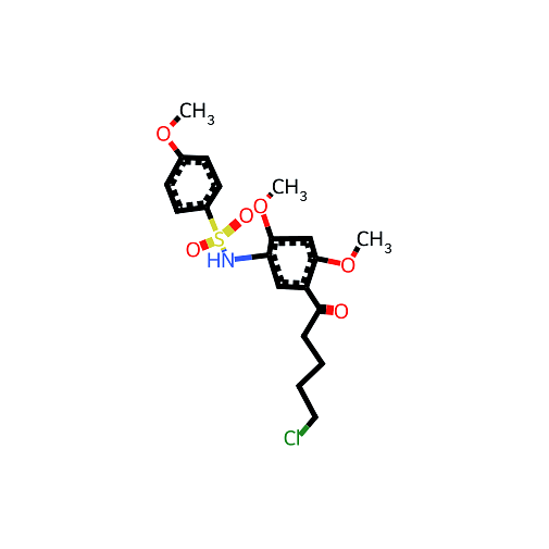 COc1ccc(S(=O)(=O)Nc2cc(C(=O)CCCCCl)c(OC)cc2OC)cc1